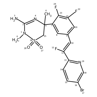 CN1C(N)=NC(C)(c2cc(C=C(F)c3ccc(Br)cn3)cc(F)c2F)CS1(=O)=O